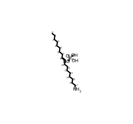 CCCCCCCCC=CCCCCCCCCN.O=P(O)(O)O